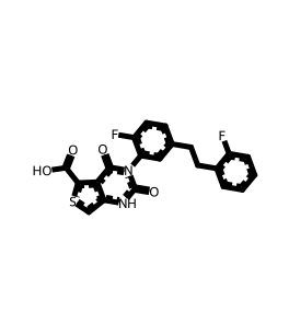 O=C(O)c1scc2[nH]c(=O)n(-c3cc(CCc4ccccc4F)ccc3F)c(=O)c12